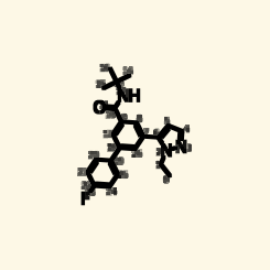 CCn1nccc1-c1cc(C(=O)NC(C)(C)C)cc(-c2ccc(F)cc2)c1